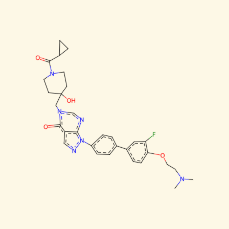 CN(C)CCOc1ccc(-c2ccc(-n3ncc4c(=O)n(CC5(O)CCN(C(=O)C6CC6)CC5)cnc43)cc2)cc1F